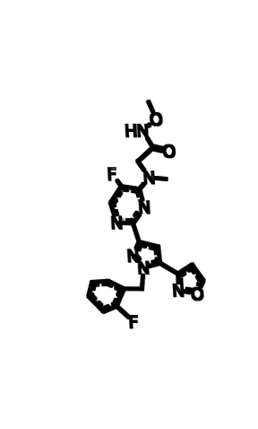 CONC(=O)CN(C)c1nc(-c2cc(-c3ccon3)n(Cc3ccccc3F)n2)ncc1F